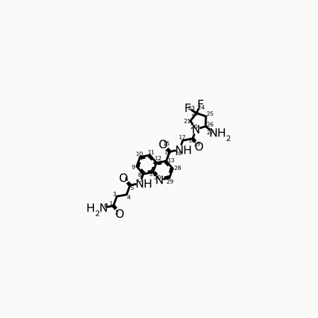 NC(=O)CCC(=O)Nc1cccc2c(C(=O)NCC(=O)N3CC(F)(F)CC3N)ccnc12